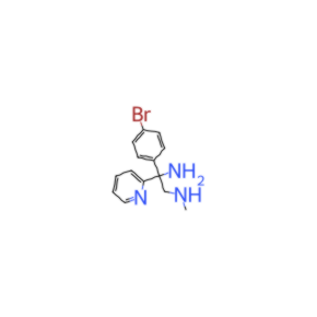 CNCC(N)(c1ccc(Br)cc1)c1ccccn1